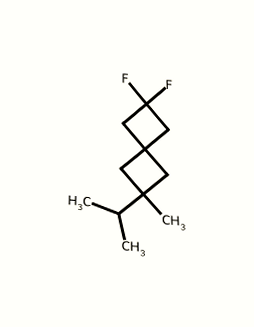 CC(C)C1(C)CC2(CC(F)(F)C2)C1